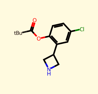 CC(C)(C)C(=O)Oc1ccc(Cl)cc1C1CNC1